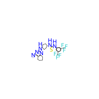 CN(C)c1nc(N[C@H]2CC[C@@H](NC(=S)Nc3cc(C(F)(F)F)cc(C(F)(F)F)c3)CC2)nc2c1CCCC2